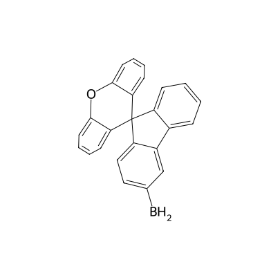 Bc1ccc2c(c1)-c1ccccc1C21c2ccccc2Oc2ccccc21